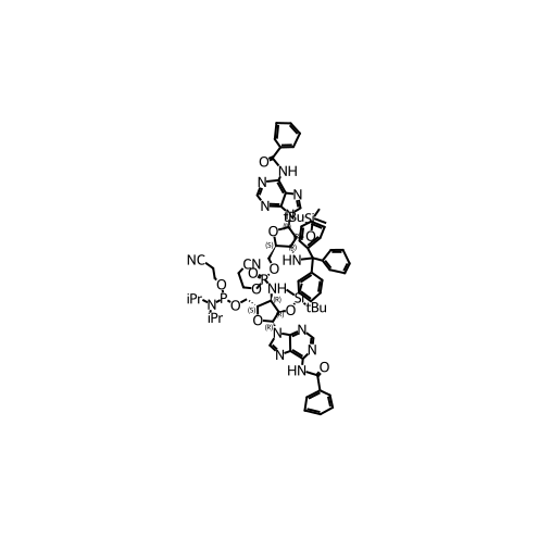 CC(C)N(C(C)C)P(OCCC#N)OC[C@H]1O[C@@H](n2cnc3c(NC(=O)c4ccccc4)ncnc32)[C@H](O[Si](C)(C)C(C)(C)C)[C@@H]1NP(=O)(OCCC#N)OC[C@H]1O[C@@H](n2cnc3c(NC(=O)c4ccccc4)ncnc32)[C@H](O[Si](C)(C)C(C)(C)C)[C@@H]1NC(c1ccccc1)(c1ccccc1)c1ccccc1